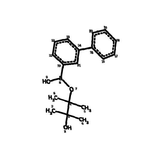 CC(C)(O)C(C)(C)OB(O)c1cccc(-c2ccccc2)c1